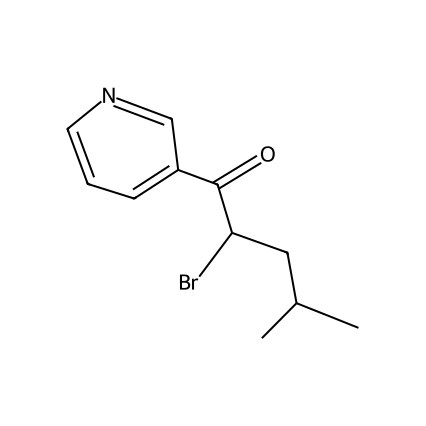 CC(C)CC(Br)C(=O)c1cccnc1